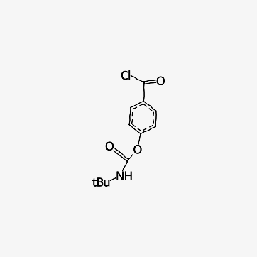 CC(C)(C)NC(=O)Oc1ccc(C(=O)Cl)cc1